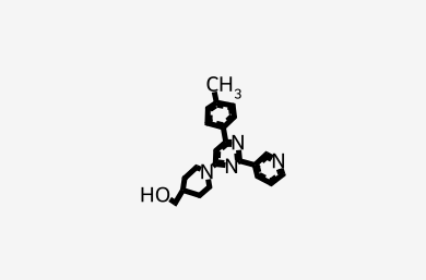 Cc1ccc(-c2cc(N3CCC(CO)CC3)nc(-c3cccnc3)n2)cc1